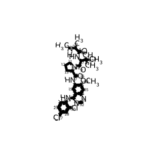 CNC(C)C(=O)NC(C(=O)N1CCCC1C(=O)Nc1cc2c(Nc3ccc(Cl)cc3Cl)ncnc2cc1OC)C(C)(C)C